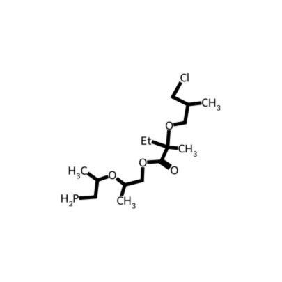 CCC(C)(OCC(C)CCl)C(=O)OCC(C)OC(C)CP